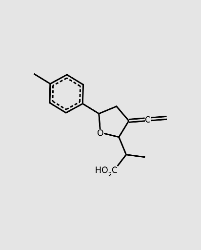 C=C=C1CC(c2ccc(C)cc2)OC1C(C)C(=O)O